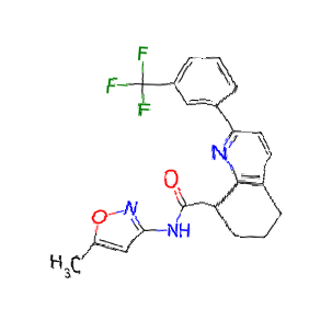 Cc1cc(NC(=O)C2CCCc3ccc(-c4cccc(C(F)(F)F)c4)nc32)no1